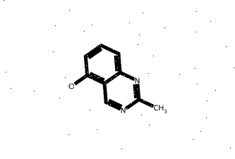 Cc1ncc2c([O])cccc2n1